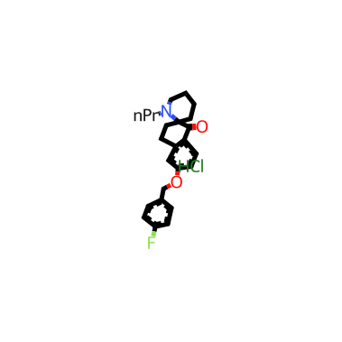 CCCN1CCCCC12CCc1cc(OCc3ccc(F)cc3)ccc1C2=O.Cl